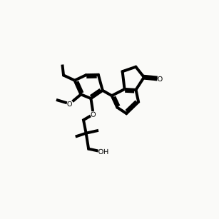 CCc1ccc(-c2cccc3c2CCC3=O)c(OCC(C)(C)CO)c1OC